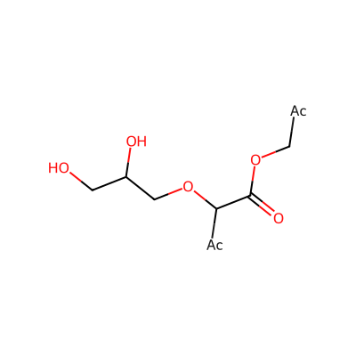 CC(=O)COC(=O)C(OCC(O)CO)C(C)=O